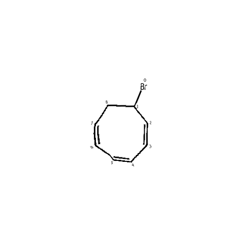 BrC1C=CC=CC=CC1